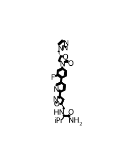 CC(C)[C@@H](NC[C@@H]1CC(c2ccc(-c3ccc(N4C[C@H](Cn5ccnn5)OC4=O)cc3F)cn2)=NO1)C(N)=O